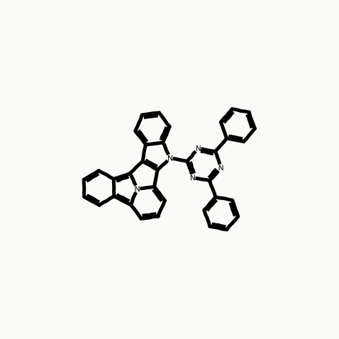 c1ccc(-c2nc(-c3ccccc3)nc(-n3c4ccccc4c4c3c3cccc5c6ccccc6c4n53)n2)cc1